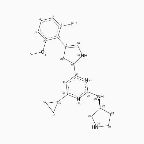 COc1cccc(F)c1C1=CNC(c2cc(C3CC3)nc(N[C@H]3CCNC3)n2)C1